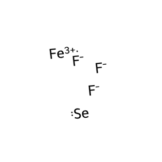 [F-].[F-].[F-].[Fe+3].[Se]